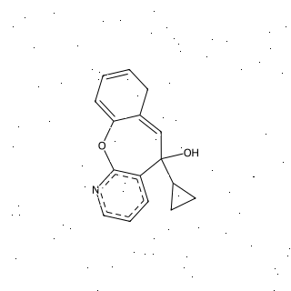 OC1(C2CC2)C=C2CC=CC=C2Oc2ncccc21